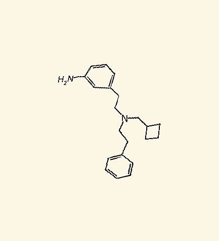 Nc1cccc(CCN(CCc2ccccc2)CC2CCC2)c1